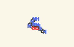 O=C(Nc1cnccc1N1CCNCC1)c1nnc(N2Cc3ccncc3C2)o1